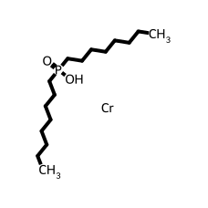 CCCCCCCCP(=O)(O)CCCCCCCC.[Cr]